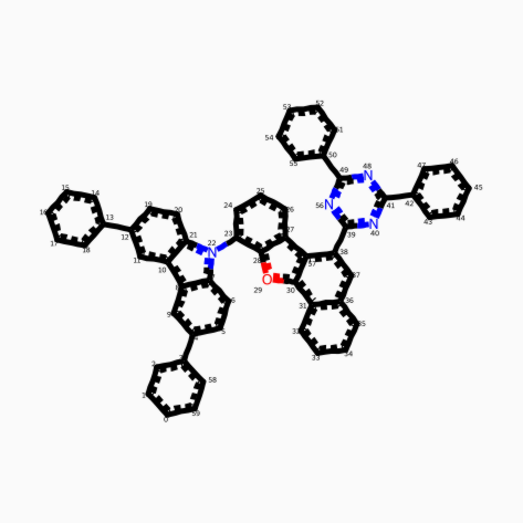 c1ccc(-c2ccc3c(c2)c2cc(-c4ccccc4)ccc2n3-c2cccc3c2oc2c4ccccc4cc(-c4nc(-c5ccccc5)nc(-c5ccccc5)n4)c32)cc1